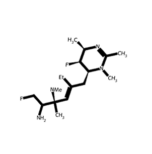 CC/C(=C\[C@@](C)(NC)C(N)CF)C[C@H]1[C@@H](F)[C@@H](C)N=C(C)N1C